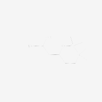 C[Si]1(C)CCC(CC(O)O)O[Si]1(C)C